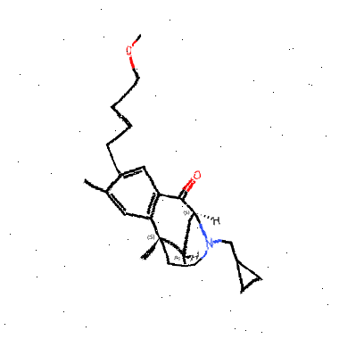 COCCCCc1cc2c(cc1C)[C@@]1(C)CCN(CC3CC3)[C@H](C2=O)[C@@H]1C